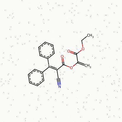 C=C(OC(=O)C(C#N)=C(c1ccccc1)c1ccccc1)C(=O)OCC